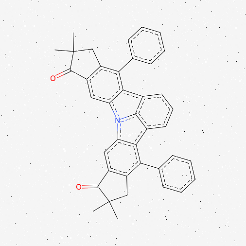 CC1(C)Cc2c(cc3c(c2-c2ccccc2)c2cccc4c5c(-c6ccccc6)c6c(cc5n3c24)C(=O)C(C)(C)C6)C1=O